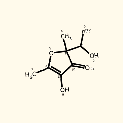 CCCC(O)C1(C)OC(C)=C(O)C1=O